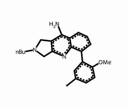 CCCCN1Cc2nc3c(-c4cc(C)ccc4OC)cccc3c(N)c2C1